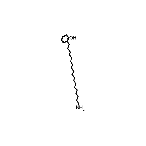 NCCCCCCCCCCCCCCCCCCCc1ccccc1O